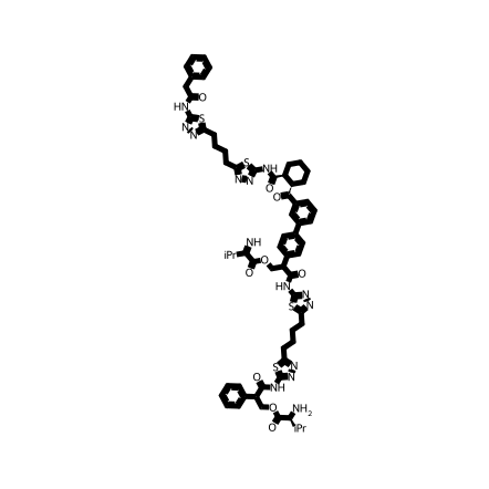 CC(C)C(=N)C(=O)OCC(C(=O)Nc1nnc(CCCCc2nnc(NC(=O)C(COC(=O)[C@@H](N)C(C)C)c3ccccc3)s2)s1)c1ccc(-c2cccc(C(=O)[C@H]3CCCC[C@@H]3C(=O)Nc3nnc(CCCCc4nnc(NC(=O)Cc5ccccc5)s4)s3)c2)cc1